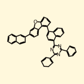 C1=CC(c2nc(-c3ccccc3)nc(-c3ccc(-c4cccc5oc6cc(-c7ccc8ccccc8c7)ccc6c45)c4ccccc34)n2)=CCC1